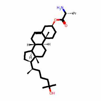 CC(C)[C@@H](N)C(=O)O[C@H]1CC[C@@]2(C)C(=CC[C@H]3[C@@H]4CC[C@H]([C@H](C)CCCC(C)(C)O)[C@@]4(C)CC[C@@H]32)C1